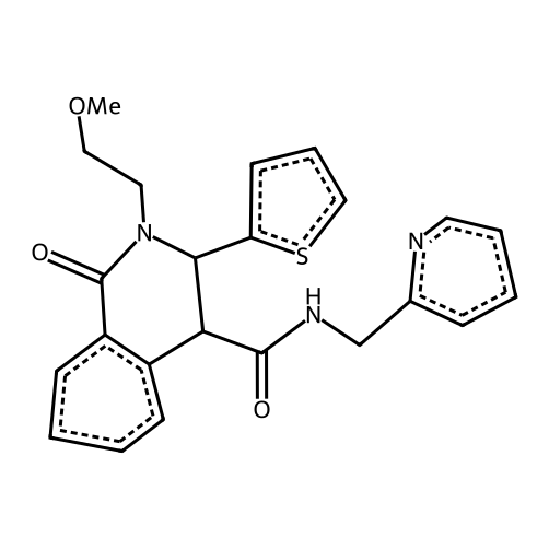 COCCN1C(=O)c2ccccc2C(C(=O)NCc2ccccn2)C1c1cccs1